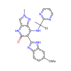 CCC(C)(Nc1c(-c2nc3ccc(OC)cc3[nH]2)c(=O)[nH]c2cn(C)nc12)c1ncccn1